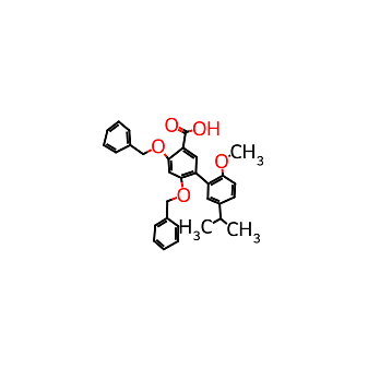 COc1ccc(C(C)C)cc1-c1cc(C(=O)O)c(OCc2ccccc2)cc1OCc1ccccc1